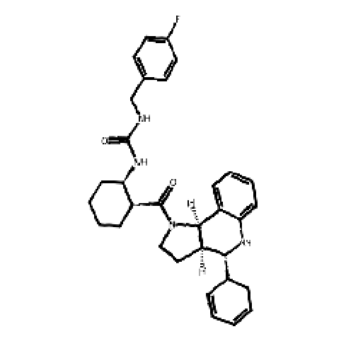 O=C(NCc1ccc(F)cc1)N[C@@H]1CCCC[C@@H]1C(=O)N1CC[C@@H]2[C@H](C3C=CC=CC3)Nc3ccccc3[C@@H]21